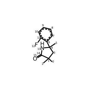 CC1(C)CC(C)(c2ccccc2F)NC1=O